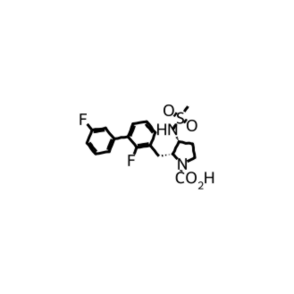 CS(=O)(=O)N[C@@H]1CCN(C(=O)O)[C@@H]1Cc1cccc(-c2cccc(F)c2)c1F